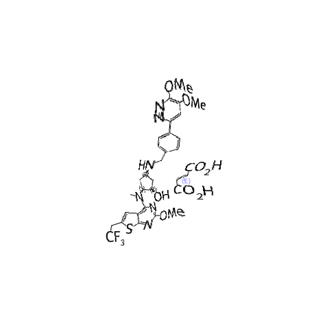 COc1nc(N(C)[C@H]2C[C@@H](NCc3ccc(-c4cc(OC)c(OC)nn4)cc3)C[C@H]2O)c2cc(CC(F)(F)F)sc2n1.O=C(O)/C=C/C(=O)O